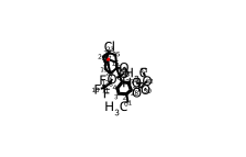 CCc1ccc(C2(OCC(F)(F)F)OOC23C2CC4CC3CC(Cl)(C4)C2)cc1OP(=O)(O)OC